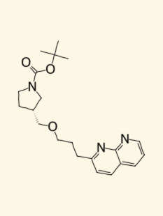 CC(C)(C)OC(=O)N1CC[C@@H](COCCCc2ccc3cccnc3n2)C1